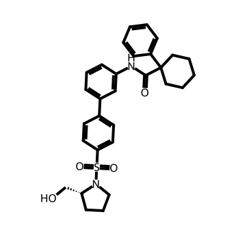 O=C(Nc1cccc(-c2ccc(S(=O)(=O)N3CCC[C@@H]3CO)cc2)c1)C1(c2ccccc2)CCCCC1